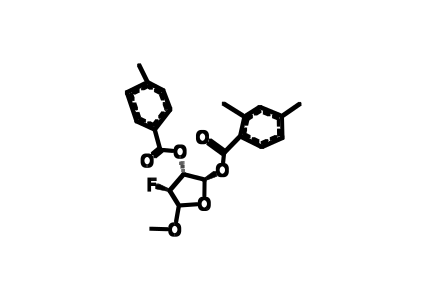 COC1O[C@H](OC(=O)c2ccc(C)cc2C)[C@@H](OC(=O)c2ccc(C)cc2)[C@@H]1F